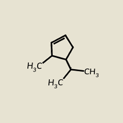 C[C](C)C1CC=CC1C